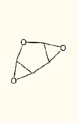 O1[C]2C1OC1OC21